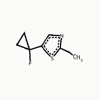 Cc1ncc(C2(F)CC2)s1